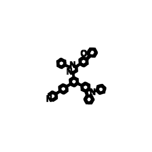 c1ccc(-c2nc(-c3cc(-c4ccc(-c5ccncc5)cc4)cc(-c4ccc5c(c4)c4ccccc4n5-c4ccccc4)c3)cc(-c3ccc4c(c3)oc3ccccc34)n2)cc1